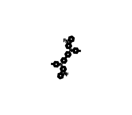 Cc1ccc(N(c2ccc(-c3ccc(N(c4ccc(C)cc4)c4ccc5c(c4)c4ccccc4n5F)cc3)cc2)c2ccc3c(c2)c2ccccc2n3F)cc1